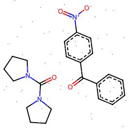 O=C(N1CCCC1)N1CCCC1.O=C(c1ccccc1)c1ccc([N+](=O)[O-])cc1